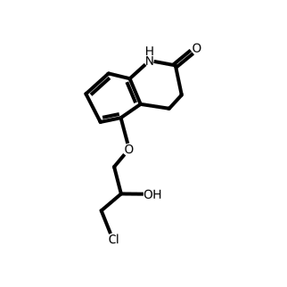 O=C1CCc2c(cccc2OCC(O)CCl)N1